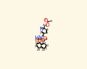 CC(=O)OCc1ccc(C(=O)NS(=O)(=O)c2cccc3ccccc23)cn1